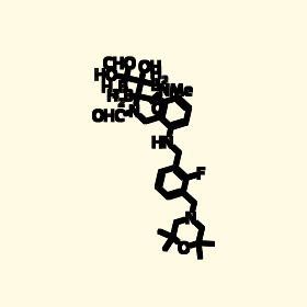 BC(O)(C=O)C(B)(O)C(B)(C(=O)NC)N(C=O)Cc1c(C)cccc1NCc1cccc(CN2CC(C)(C)OC(C)(C)C2)c1F